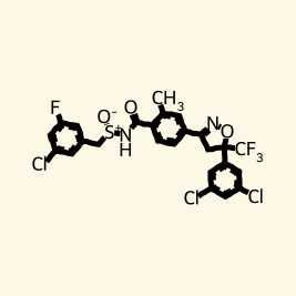 Cc1cc(C2=NOC(c3cc(Cl)cc(Cl)c3)(C(F)(F)F)C2)ccc1C(=O)N[S+]([O-])Cc1cc(F)cc(Cl)c1